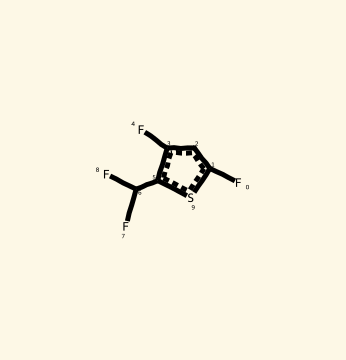 Fc1cc(F)c(C(F)F)s1